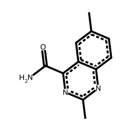 Cc1ccc2nc(C)nc(C(N)=O)c2c1